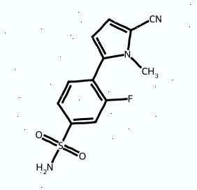 Cn1c(C#N)ccc1-c1ccc(S(N)(=O)=O)cc1F